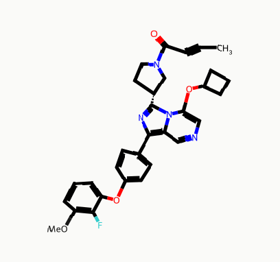 CC#CC(=O)N1CC[C@@H](c2nc(-c3ccc(Oc4cccc(OC)c4F)cc3)c3cncc(OC4CCC4)n23)C1